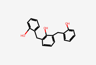 Oc1ccccc1Cc1cccc(Cc2ccccc2O)c1O